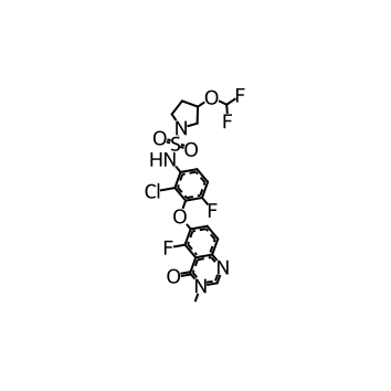 Cn1cnc2ccc(Oc3c(F)ccc(NS(=O)(=O)N4CCC(OC(F)F)C4)c3Cl)c(F)c2c1=O